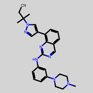 CN1CCN(c2cccc(Nc3ncc4cccc(-c5cnn(C(C)(C)CC#N)c5)c4n3)c2)CC1